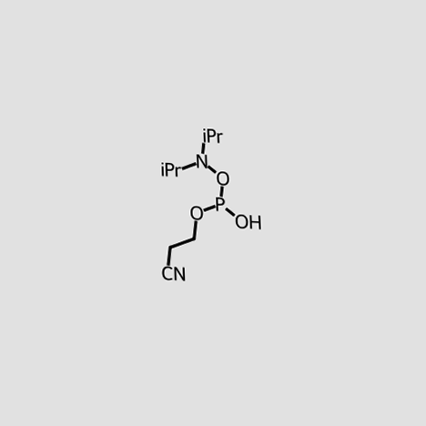 CC(C)N(OP(O)OCCC#N)C(C)C